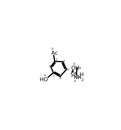 CC(=O)c1cccc(O)c1.CN.O=S(=O)(O)O